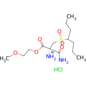 CCCC(CCC)S(=O)(=O)C[C@@](N)(C(N)=O)C(=O)OCCOC.Cl